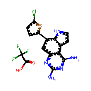 Nc1nc(N)c2c(cc(-c3ccc(Cl)s3)c3[nH]ccc32)n1.O=C(O)C(F)(F)F